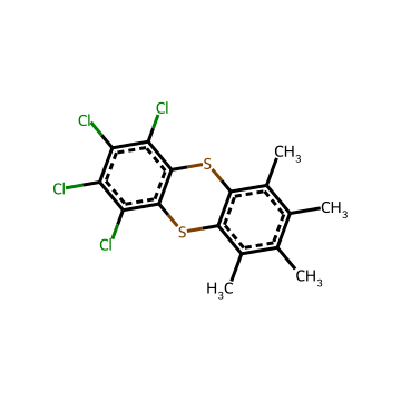 Cc1c(C)c(C)c2c(c1C)Sc1c(Cl)c(Cl)c(Cl)c(Cl)c1S2